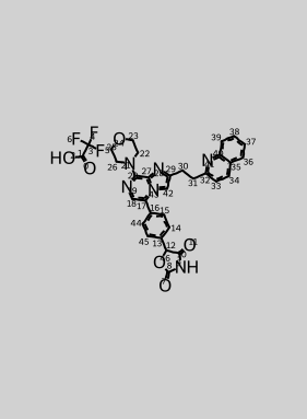 O=C(O)C(F)(F)F.O=C1NC(=O)C(c2ccc(-c3cnc(N4CCOCC4)c4nc(CCc5ccc6ccccc6n5)cn34)cc2)O1